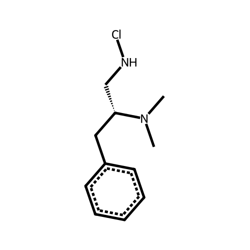 CN(C)[C@@H](CNCl)Cc1ccccc1